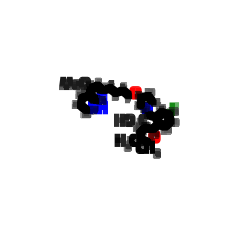 COc1cc(CCCCO[C@@H]2CCN(C(C(=O)O)c3cc(F)ccc3C3CCC(C)(C)CO3)C2)nc2c1CCCN2